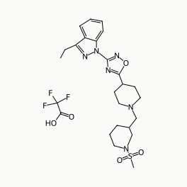 CCc1nn(-c2noc(C3CCN(CC4CCCN(S(C)(=O)=O)C4)CC3)n2)c2ccccc12.O=C(O)C(F)(F)F